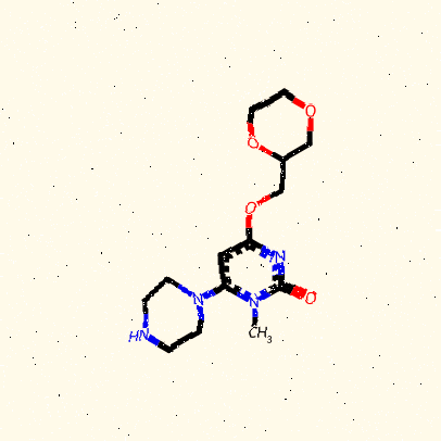 Cn1c(N2CCNCC2)cc(OCC2COCCO2)nc1=O